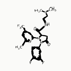 Cc1cc(C(F)(F)F)cc(N2C(C(=O)NCCN(C)C)CC(=O)N2c2ccc(F)c(F)c2)n1